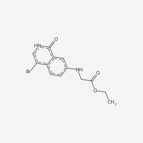 CCOC(=O)CNc1ccc2c(Br)c[nH]c(=O)c2c1